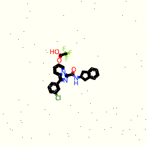 O=C(NC1Cc2ccccc2C1)c1nc(-c2cccc(Cl)c2)c2ccccn12.O=C(O)C(F)(F)F